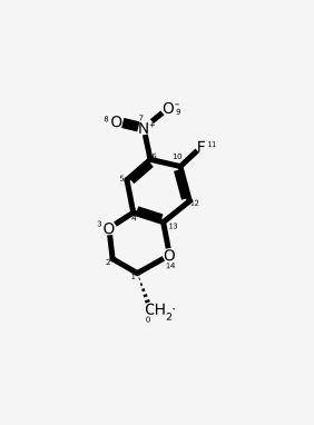 [CH2][C@@H]1COc2cc([N+](=O)[O-])c(F)cc2O1